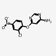 Nc1cc(Oc2ccc([N+](=O)[O-])cc2Cl)ncn1